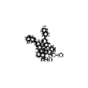 O=Cc1ccc(Oc2ccc3cc(-c4ccc5ccccc5c4)ccc3c2-c2c(Oc3ccc(C=O)c4ccccc34)ccc3cc(-c4ccc5ccccc5c4)ccc23)c2ccccc12